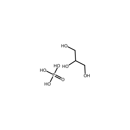 O=P(O)(O)O.OCC(O)CO